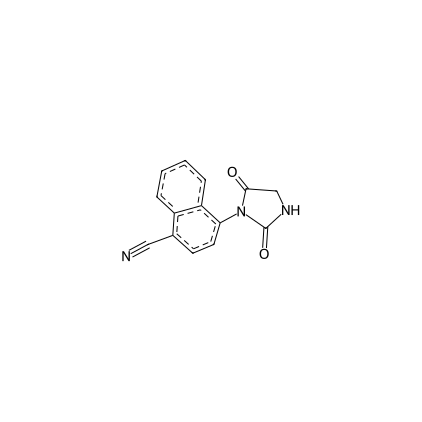 N#Cc1ccc(N2C(=O)CNC2=O)c2ccccc12